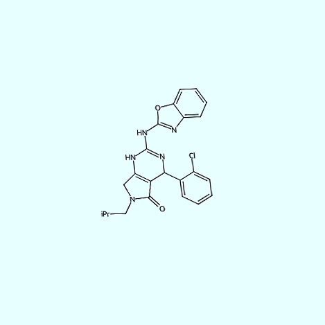 CC(C)CN1CC2=C(C1=O)C(c1ccccc1Cl)N=C(Nc1nc3ccccc3o1)N2